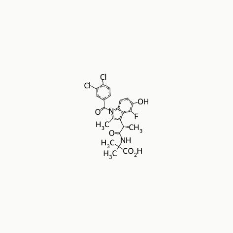 Cc1c([C@@H](C)C(=O)NC(C)(C)C(=O)O)c2c(F)c(O)ccc2n1C(=O)c1ccc(Cl)c(Cl)c1